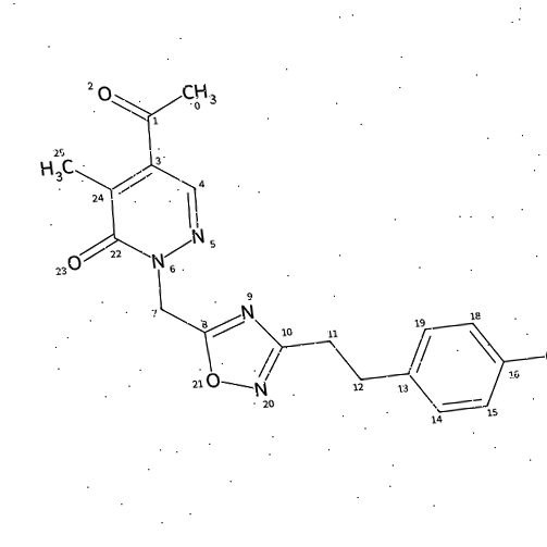 CC(=O)c1cnn(Cc2nc(CCc3ccc(Cl)cc3)no2)c(=O)c1C